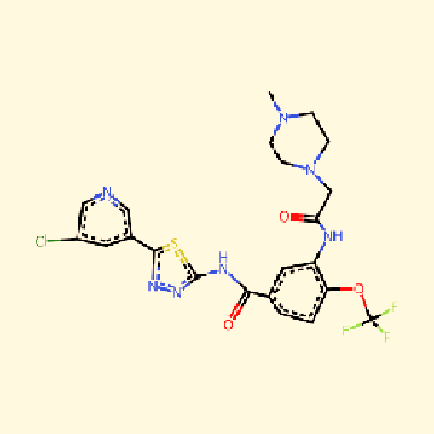 CN1CCN(CC(=O)Nc2cc(C(=O)Nc3nnc(-c4cncc(Cl)c4)s3)ccc2OC(F)(F)F)CC1